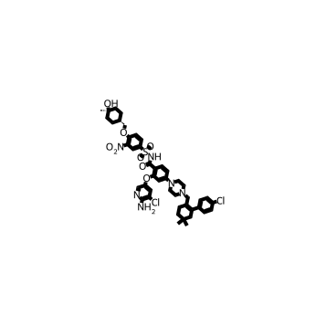 CC1(C)CCC(CN2CCN(c3ccc(C(=O)NS(=O)(=O)c4ccc(OC[C@H]5CC[C@](C)(O)CC5)c([N+](=O)[O-])c4)c(Oc4cnc(N)c(Cl)c4)c3)CC2)=C(c2ccc(Cl)cc2)C1